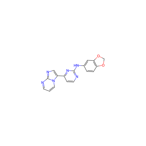 c1cnc2ncc(-c3ccnc(Nc4ccc5c(c4)OCO5)n3)n2c1